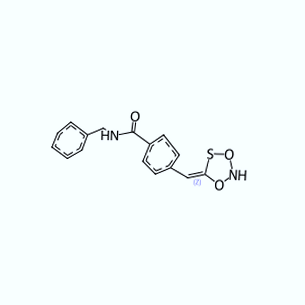 O=C(NCc1ccccc1)c1ccc(/C=C2/ONOS2)cc1